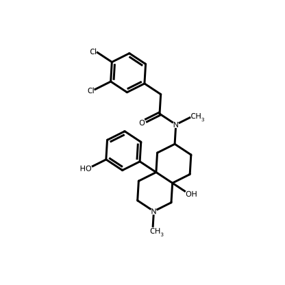 CN1CCC2(c3cccc(O)c3)CC(N(C)C(=O)Cc3ccc(Cl)c(Cl)c3)CCC2(O)C1